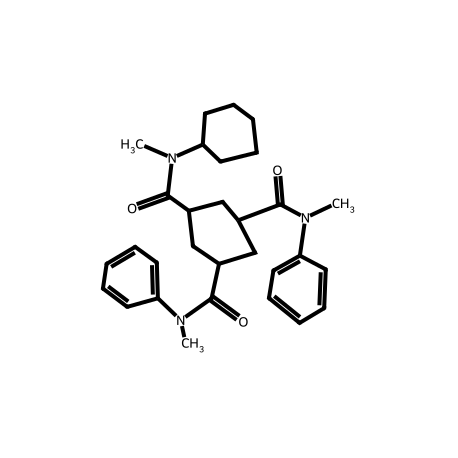 CN(C(=O)C1CC(C(=O)N(C)c2ccccc2)CC(C(=O)N(C)C2CCCCC2)C1)c1ccccc1